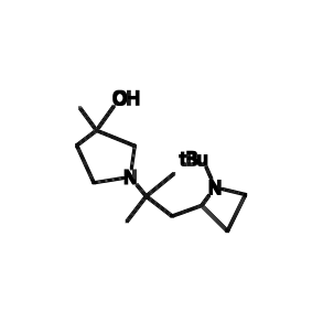 CC1(O)CCN(C(C)(C)CC2CCN2C(C)(C)C)C1